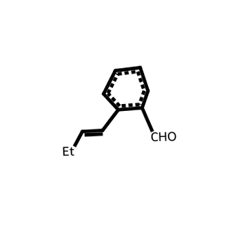 CC/C=C/c1ccccc1C=O